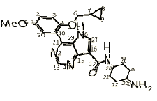 COc1ccc(OCC2CC2)c(-c2ncnc3c(C(=O)N[C@H]4CC[C@H](N)CC4)c[nH]c23)c1